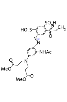 C=CS(=O)(=O)c1cc(/N=N/c2ccc(N(CCC(=O)OC)CCC(=O)OC)cc2NC(C)=O)c(S(=O)(=O)O)cc1S(=O)(=O)O